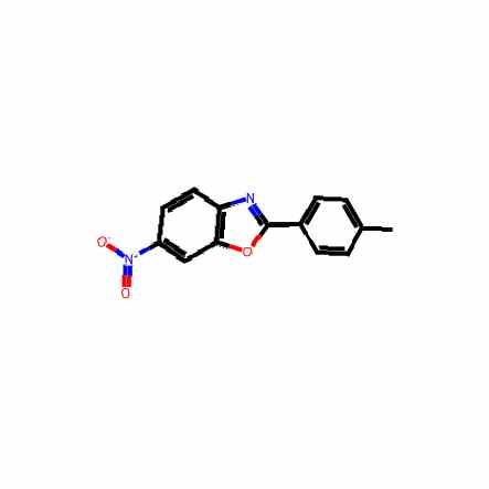 Cc1ccc(-c2nc3ccc([N+](=O)[O-])cc3o2)cc1